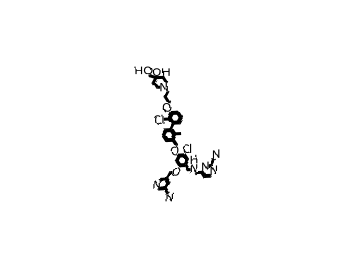 Cc1c(COc2cc(OCc3cncc(C#N)c3)c(CNCc3ccnc(C#N)n3)cc2Cl)cccc1-c1cccc(OCCCN2CCC(O)(CO)CC2)c1Cl